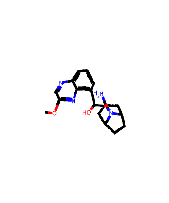 COc1cnc2cccc(C(O)CN3C4CCC3CC(N)C4)c2n1